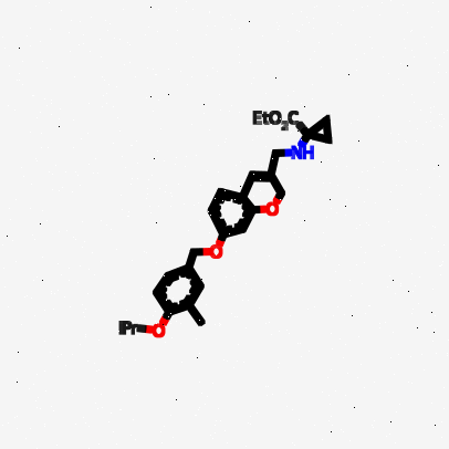 CCOC(=O)C1(NCC2=Cc3ccc(OCc4ccc(OC(C)C)c(C)c4)cc3OC2)CC1